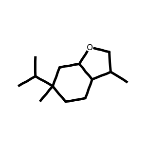 CC1COC2CC(C)(C(C)C)CCC12